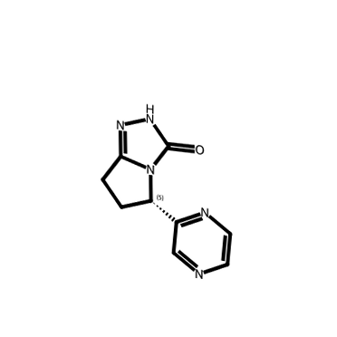 O=c1[nH]nc2n1[C@H](c1cnccn1)CC2